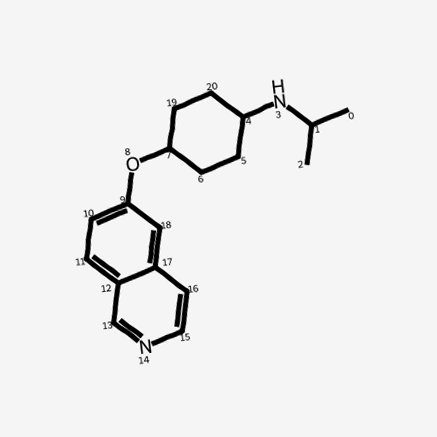 CC(C)NC1CCC(Oc2ccc3cnccc3c2)CC1